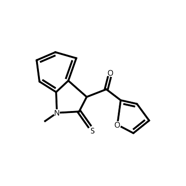 CN1C(=S)C(C(=O)c2ccco2)c2ccccc21